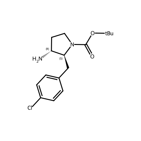 CC(C)(C)OC(=O)N1CC[C@@H](N)[C@@H]1Cc1ccc(Cl)cc1